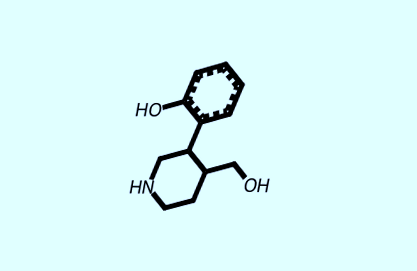 OCC1CCNCC1c1ccccc1O